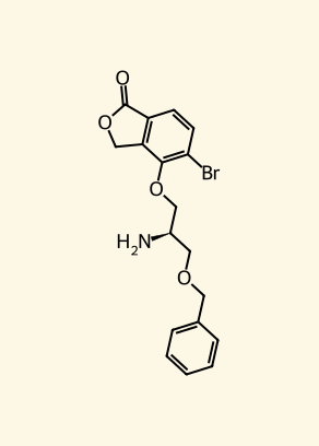 N[C@H](COCc1ccccc1)COc1c(Br)ccc2c1COC2=O